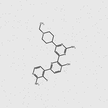 CCN1CCC(c2cc(-c3nc(-c4ccnc(N)c4F)ccc3O)nc(N)n2)CC1